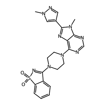 Cn1cc(-c2nc3c(N4CCN(C5=NS(=O)(=O)c6ccccc65)CC4)ncnc3n2C)cn1